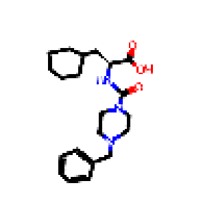 O=C(O)[C@H](CC1CCCCC1)NC(=O)N1CCN(Cc2ccccc2)CC1